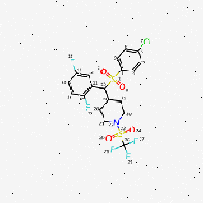 O=S(=O)(c1ccc(Cl)cc1)C(c1cc(F)ccc1F)C1CCN(S(=O)(=O)C(F)(F)F)CC1